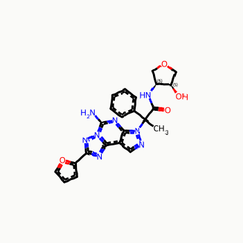 CC(C(=O)N[C@H]1COC[C@H]1O)(c1ccccc1)n1ncc2c1nc(N)n1nc(-c3ccco3)nc21